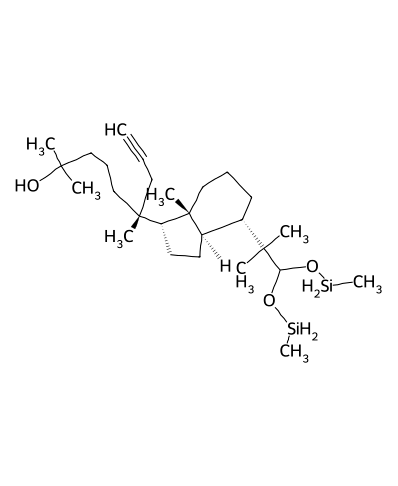 C#CC[C@@](C)(CCCC(C)(C)O)[C@H]1CC[C@@H]2[C@@H](C(C)(C)C(O[SiH2]C)O[SiH2]C)CCC[C@]21C